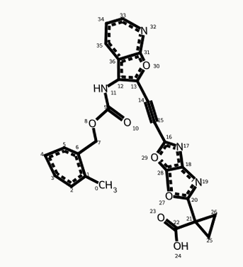 Cc1ccccc1COC(=O)Nc1c(C#Cc2nc3nc(C4(C(=O)O)CC4)oc3o2)oc2ncccc12